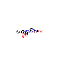 O=C(CN1CCC[C@@H](Nc2nnc(-c3ccc(C(F)(F)F)cc3O)c3c2COC3)C1)N1CC(O)C1